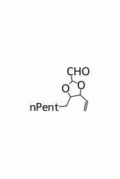 C=CC1OC(C=O)OC1CCCCCC